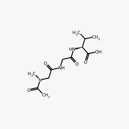 CC(=O)N(C)CC(=O)NCC(=O)N[C@H](C(=O)O)C(C)C